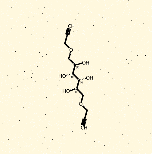 C#CCOC[C@@H](O)[C@@H](O)[C@H](O)[C@H](O)COCC#C